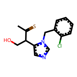 CC(=S)C(CO)c1cncn1Cc1ccccc1Cl